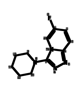 Fc1ccc2nnc(N3C[CH]CCC3)n2c1